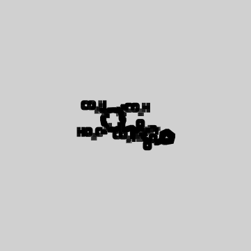 CC(C)N(NC(=O)OCc1ccccc1)C(=O)CCC(C(=O)O)N1CCN(CC(=O)O)CCN(CC(=O)O)CCN(CC(=O)O)CC1